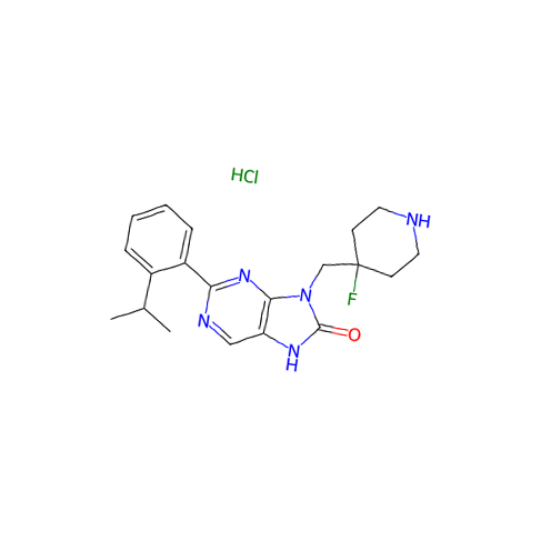 CC(C)c1ccccc1-c1ncc2[nH]c(=O)n(CC3(F)CCNCC3)c2n1.Cl